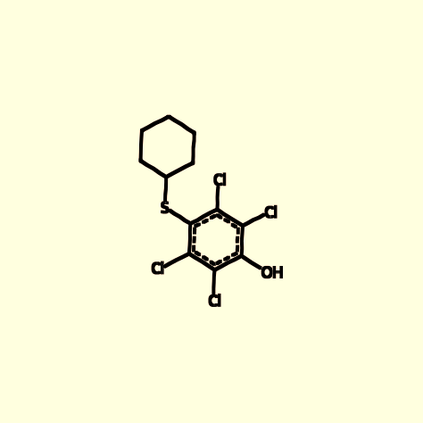 Oc1c(Cl)c(Cl)c(SC2CCCCC2)c(Cl)c1Cl